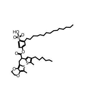 CCCCCCCCCCCCCCCc1cc(OC(=O)C(Cc2sc(C)c3c2OCCO3)c2cc(CCCCCC)c(C)s2)ccc1S(=O)(=O)O